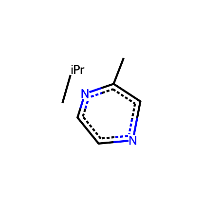 CC(C)C.Cc1cnccn1